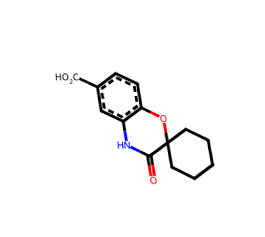 O=C(O)c1ccc2c(c1)NC(=O)C1(CCCCC1)O2